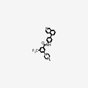 CN1CCN(c2cc(C(=O)Nc3ccc(-c4cccc5cnccc45)cc3)cc(C(F)(F)F)c2)CC1